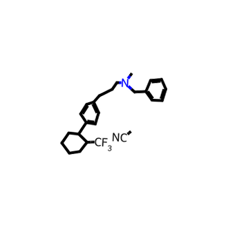 CC#N.CN(CCCc1ccc(C2CCCCC2C(F)(F)F)cc1)Cc1ccccc1